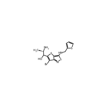 C[C@@H](N)C(O)c1sc2c(NCc3cccs3)snc2c1Br